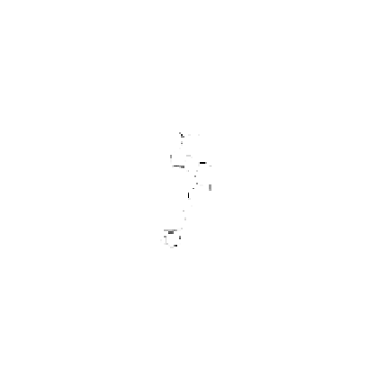 O=C(O)C1CSC2C([C@@H](O)CSCCn3cnnn3)C(=O)N12